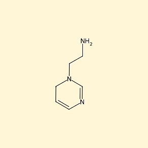 NCCN1C=NC=CC1